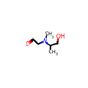 CC(CO)N(C)C[C]=O